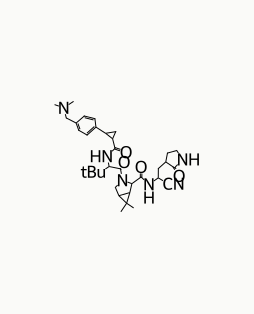 CN(C)Cc1ccc(C2CC2C(=O)NC(C(=O)N2CC3C(C2C(=O)NC(C#N)CC2CCNC2=O)C3(C)C)C(C)(C)C)cc1